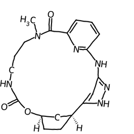 CN1CCCNC(=O)O[C@@H]2CC[C@@H](C2)c2cc(n[nH]2)Nc2cccc(n2)C1=O